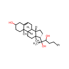 CC(C)CCC(O)[C@](C)(O)[C@H]1CC[C@H]2[C@@H]3CC=C4CC(O)CCC4(C)[C@H]3CCC21C